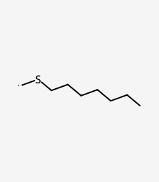 [CH2]SCCCCCCC